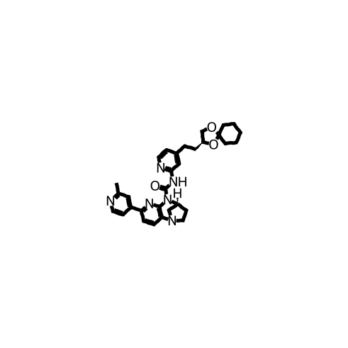 Cc1cc(-c2ccc3c(n2)N(C(=O)Nc2cc(CC[C@H]4COC5(CCCCC5)O4)ccn2)[C@H]2CCN3C2)ccn1